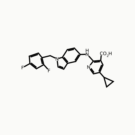 O=C(O)c1cc(C2CC2)cnc1Nc1ccc2c(ccn2Cc2ccc(F)cc2F)c1